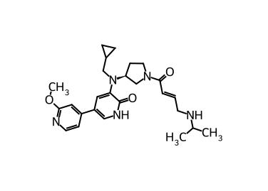 COc1cc(-c2c[nH]c(=O)c(N(CC3CC3)[C@H]3CCN(C(=O)C=CCNC(C)C)C3)c2)ccn1